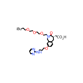 CCC(C)CCOCCOCCOCCN1Cc2cc(OCCCNc3ncccn3)ccc2C[C@@H](CC(=O)O)C1=O